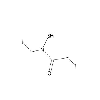 O=C(CI)N(S)CI